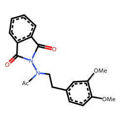 COc1ccc(CCN(C(C)=O)N2C(=O)c3ccccc3C2=O)cc1OC